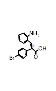 Nc1ccccc1/C=C(/C(=O)O)c1ccc(Br)cc1